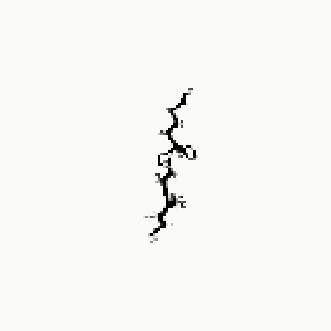 CCCCCC(=O)OCCC(=S)CCC